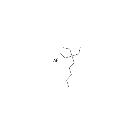 CCCCCC(CC)(CC)CC.[Al]